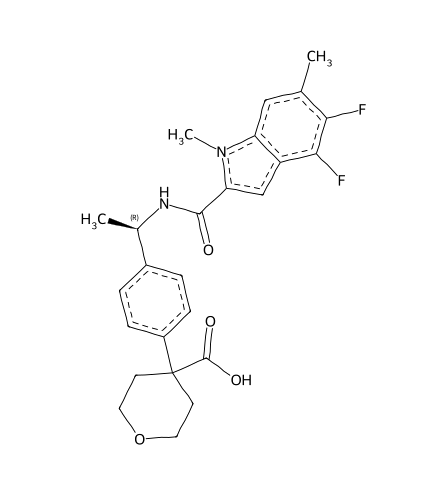 Cc1cc2c(cc(C(=O)N[C@H](C)c3ccc(C4(C(=O)O)CCOCC4)cc3)n2C)c(F)c1F